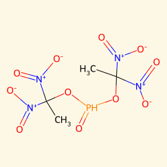 CC(O[PH](=O)OC(C)([N+](=O)[O-])[N+](=O)[O-])([N+](=O)[O-])[N+](=O)[O-]